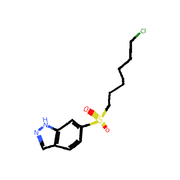 O=S(=O)(CCCCCCCl)c1ccc2cn[nH]c2c1